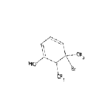 OC1=CC=CC(Br)(C(F)(F)F)C1C(F)(F)F